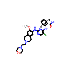 COc1cc2c(cc1Nc1ncc(Cl)c(N[C@H]3[C@@H](C(N)=O)[C@@H]4C=C[C@H]3C4)n1)CCN(CCN1CCOCC1)CC2